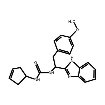 COc1ccc(CC(NC(=O)NC2CC=CC2)c2nc3ccccc3[nH]2)cc1